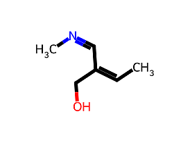 C/C=C(\C=N/C)CO